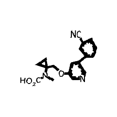 CN(C(=O)O)C1(COc2cncc(-c3cccc(C#N)c3)c2)CC1